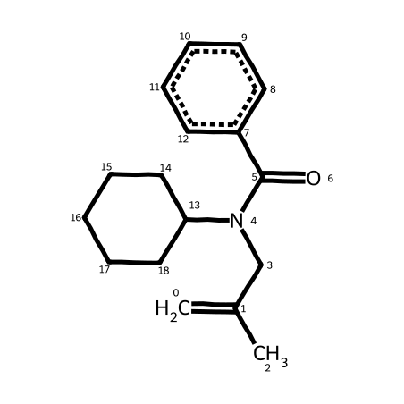 C=C(C)CN(C(=O)c1ccccc1)C1CCCCC1